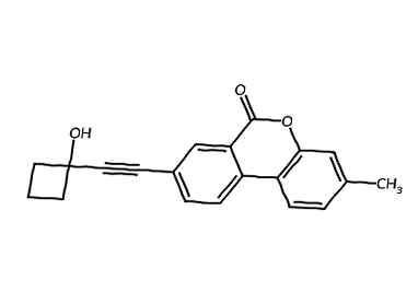 Cc1ccc2c(c1)oc(=O)c1cc(C#CC3(O)CCC3)ccc12